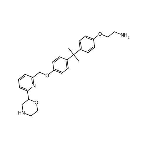 CC(C)(c1ccc(OCCN)cc1)c1ccc(OCc2cccc(C3CNCCO3)n2)cc1